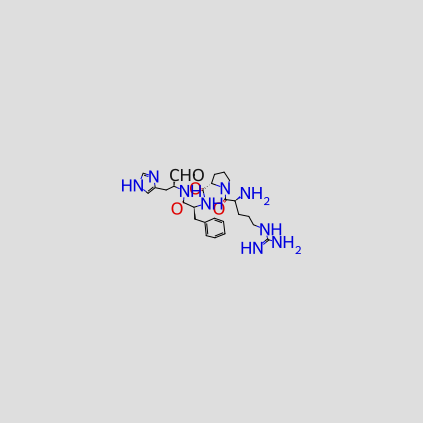 N=C(N)NCCC[C@H](N)C(=O)N1CCC[C@H]1C(=O)N[C@@H](Cc1ccccc1)C(=O)N[C@H]([C]=O)Cc1c[nH]cn1